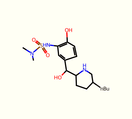 CCCCC1CCC(C(O)c2ccc(O)c(NS(=O)(=O)N(C)C)c2)NC1